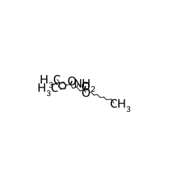 CCCCCCCCOC(=O)CC(N)CC(=O)c1ccc(C)c(C)c1